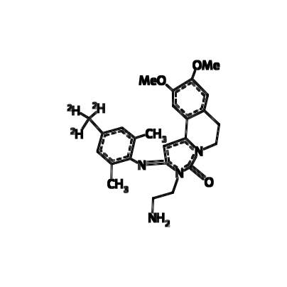 [2H]C([2H])([2H])c1cc(C)c(/N=c2\cc3n(c(=O)n2CCN)CCc2cc(OC)c(OC)cc2-3)c(C)c1